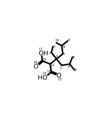 CCC(CC(C)C)(CC(C)C)C(C(=O)O)C(=O)O